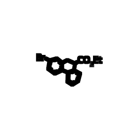 CCOC(=O)C1Cc2cc(Br)ccc2-c2ccccc21